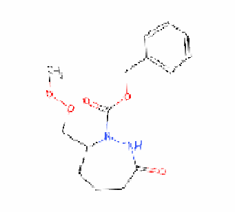 COOCC1CCCC(=O)NN1C(=O)OCc1ccccc1